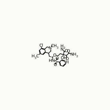 Cc1cc(Cl)c2c(c1)C(C[C@H](NS(=O)(=O)c1ccccc1)OCCC(O)(C(N)=O)C(O)C(N)=O)CN(C)C2